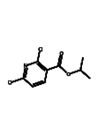 CC(C)OC(=O)c1ccc(Cl)nc1Cl